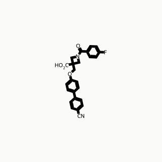 N#Cc1ccc(-c2ccc(OCC3(C(=O)O)CN(C(=O)c4ccc(F)cc4)C3)cc2)cc1